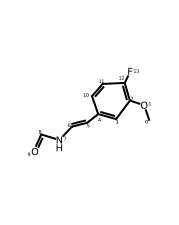 COc1cc(/C=C/NC=O)ccc1F